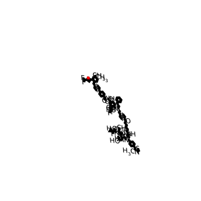 Cc1ncsc1-c1ccc([C@H](CC(=O)NCCCCCC(=O)N2CCN(CC[C@H](CSc3ccccc3)Nc3ccc(S(=O)(=O)NC(=O)c4ccc(N5CCN(CC6=C(C78CC(C(F)F)(C7)C8)CC(C)(C)CC6)CC5)cc4)cc3S(=O)(=O)C(F)(F)F)CC2)NC(=O)[C@@H]2C[C@@H](O)CN2C(=O)[C@@H](NC(=O)C2(F)CC2)C(C)(C)C)cc1